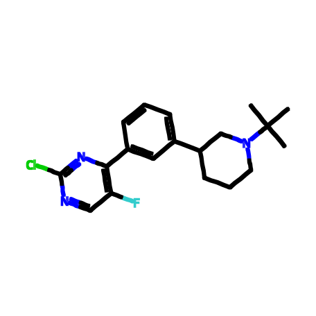 CC(C)(C)N1CCCC(c2cccc(-c3nc(Cl)ncc3F)c2)C1